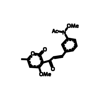 COc1cc(C)oc(=O)c1C(=O)/C=C/c1cccc(N(OC)C(C)=O)c1